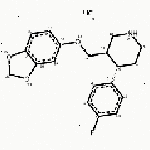 Cl.Fc1ccc([C@H]2CCNC[C@@H]2COc2ccc3c(c2)OCO3)cc1